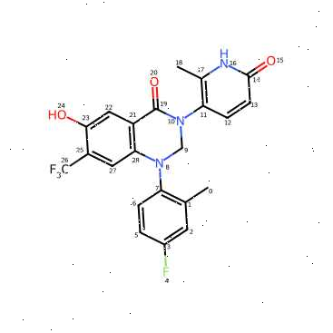 Cc1cc(F)ccc1N1CN(c2ccc(=O)[nH]c2C)C(=O)c2cc(O)c(C(F)(F)F)cc21